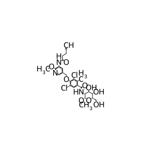 C#CCCC(=O)Nc1cc(COc2c(Cl)cc(C(=O)N[C@H]3[C@@H](OC)O[C@H](CO)[C@@H](O)[C@@H]3O)c(C)c2Cl)cnc1OC